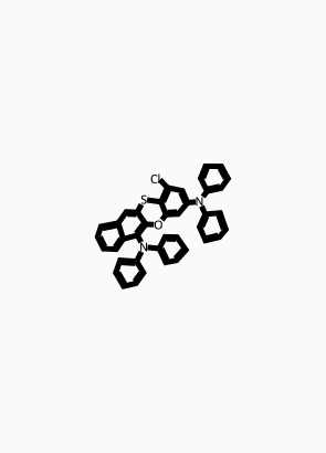 Clc1cc(N(c2ccccc2)c2ccccc2)cc2c1Sc1cc3ccccc3c(N(c3ccccc3)c3ccccc3)c1O2